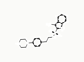 Cc1c(S(=O)(=O)NCCc2ccc(N3CCOCC3)cc2)[nH]c2ccccc12